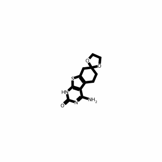 Nc1nc(=O)[nH]c2sc3c(c12)CCC1(C3)OCCO1